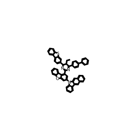 CCC1C(c2ccc(-c3ccccc3)cc2)=NC(c2cc(-n3c4ccccc4c4cc5ccccc5cc43)cc3oc4ccccc4c23)=NC1c1ccc2c(c1)sc1ccccc12